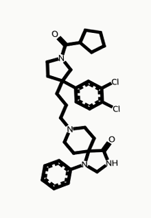 O=C(C1CCCC1)N1CCC(CCCN2CCC3(CC2)C(=O)NCN3c2ccccc2)(c2ccc(Cl)c(Cl)c2)C1